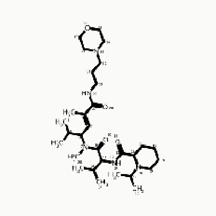 C/C(=C\C(C(C)C)N(C)C(=O)C(NC(=O)C1CCCCN1C(C)C)C(C)C)C(=O)NCCCN1CCOCC1